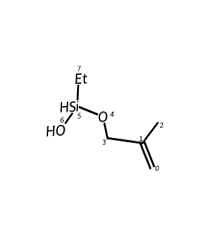 C=C(C)CO[SiH](O)CC